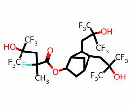 CC(F)(CC(O)(C(F)(F)F)C(F)(F)F)C(=O)OC1CC2CC1C(CC(O)(C(F)(F)F)C(F)(F)F)C2CC(O)(C(F)(F)F)C(F)(F)F